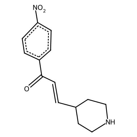 O=C(/C=C/C1CCNCC1)c1ccc([N+](=O)[O-])cc1